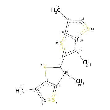 Cc1csc2c1SC(c1sc3c(C)csc3c1C)C2C